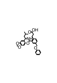 CC(C)CC(NC(=O)c1cc(COc2ccccc2)ccc1CCC(=O)O)c1ccc2c(c1)OCO2